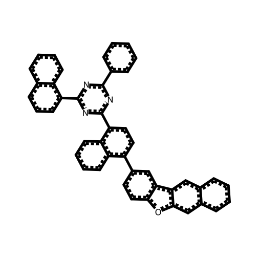 c1ccc(-c2nc(-c3cccc4ccccc34)nc(-c3ccc(-c4ccc5oc6cc7ccccc7cc6c5c4)c4ccccc34)n2)cc1